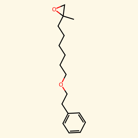 CC1(CCCCCCOCCc2ccccc2)CO1